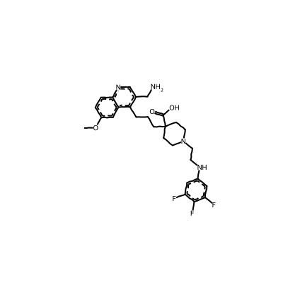 COc1ccc2ncc(CN)c(CCCC3(C(=O)O)CCN(CCNc4cc(F)c(F)c(F)c4)CC3)c2c1